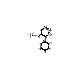 COc1[c]nnnc1-c1ccccc1